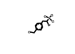 ClCc1ccc(CC(Br)[Si](Cl)(Cl)Cl)cc1